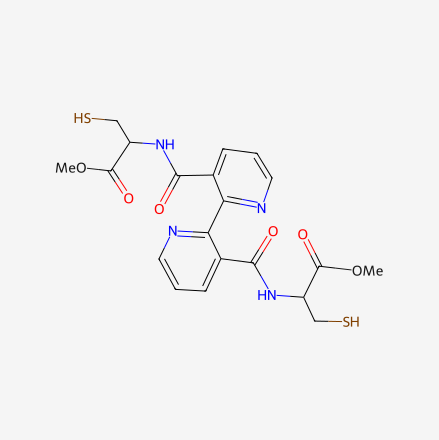 COC(=O)C(CS)NC(=O)c1cccnc1-c1ncccc1C(=O)NC(CS)C(=O)OC